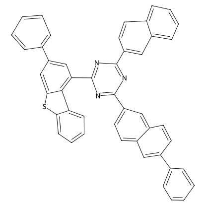 c1ccc(-c2ccc3cc(-c4nc(-c5ccc6ccccc6c5)nc(-c5cc(-c6ccccc6)cc6sc7ccccc7c56)n4)ccc3c2)cc1